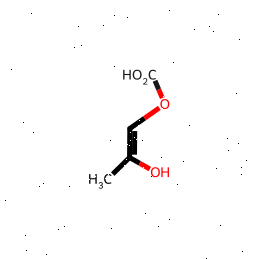 CC(O)=COC(=O)O